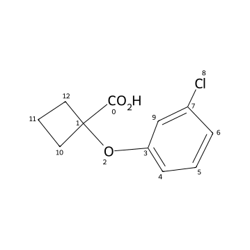 O=C(O)C1(Oc2cccc(Cl)c2)CCC1